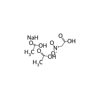 CC(=O)O.CC(=O)O.O=C(O)C[N+](=O)[O-].[NaH]